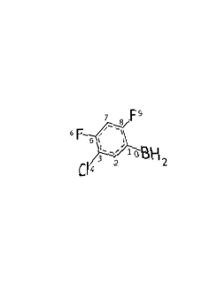 Bc1cc(Cl)c(F)cc1F